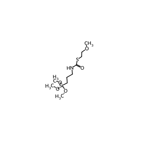 COCCSC(=O)NCCC[Si](OC)(OC)OC